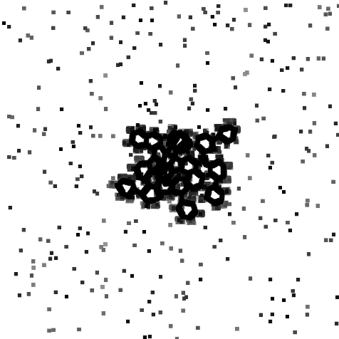 c1ccc(-c2cccc(N(c3cccc(-c4ccccc4)c3)c3cc4c(c5ccccc35)-c3c(ccc5ccccc35)C4(c3ccccc3)C3(c4ccccc4)c4ccc5ccccc5c4-c4c3cc(N(c3cccc(-c5ccccc5)c3)c3cccc(-c5ccccc5)c3)c3ccccc43)c2)cc1